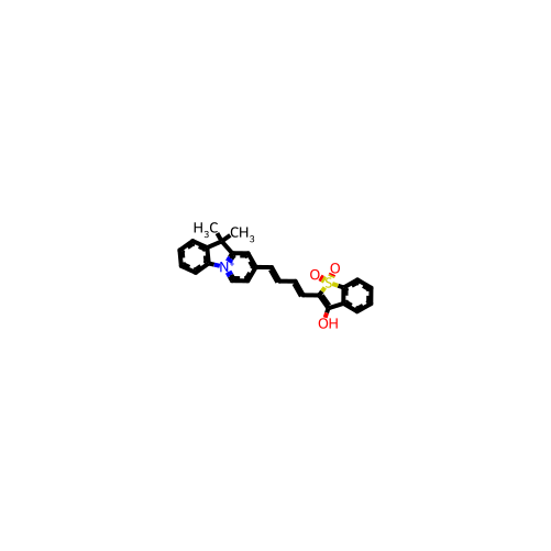 CC1(C)c2ccccc2-[n+]2ccc(/C=C/C=C/C3=C(O)c4ccccc4S3(=O)=O)cc21